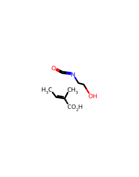 CC=C(C)C(=O)O.O=C=NCCO